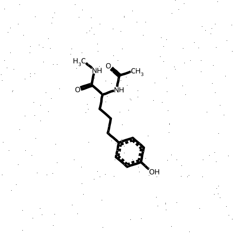 CNC(=O)C(CCCc1ccc(O)cc1)NC(C)=O